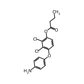 CCCC(=O)Oc1ccc(Oc2ccc(N)cc2)c(Cl)c1Cl